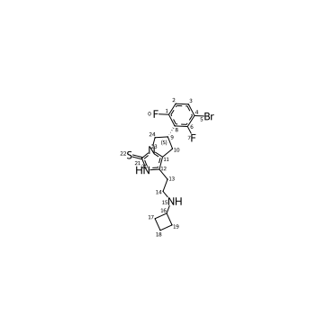 Fc1ccc(Br)c(F)c1[C@@H]1Cc2c(CCNC3CCC3)[nH]c(=S)n2C1